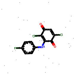 O=C1C=C(Cl)C(=O)C(Nc2ccc(F)cc2)=C1Cl